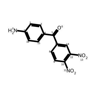 Nc1ccc(C(=O)c2ccc([N+](=O)[O-])c([N+](=O)[O-])c2)cc1